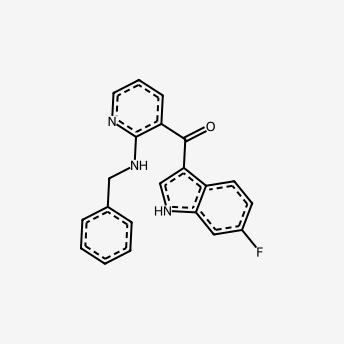 O=C(c1cccnc1NCc1ccccc1)c1c[nH]c2cc(F)ccc12